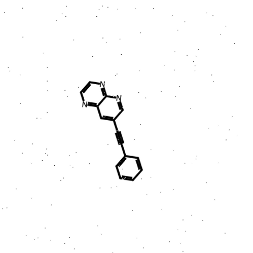 C(#Cc1cnc2nccnc2c1)c1ccccc1